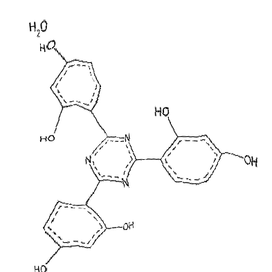 O.Oc1ccc(-c2nc(-c3ccc(O)cc3O)nc(-c3ccc(O)cc3O)n2)c(O)c1